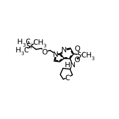 C[Si](C)(C)CCOCn1ccc2c(NC3CCCCC3)c(S(C)(=O)=O)cnc21